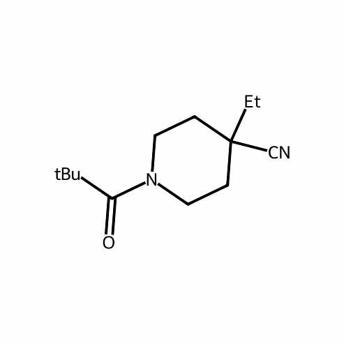 CCC1(C#N)CCN(C(=O)C(C)(C)C)CC1